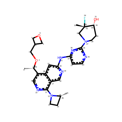 C[C@H](OCC1COC1)c1cnc(N2CC[C@H]2C)c2cnc(Nc3ccnc(N4CC[C@@H](O)[C@@](C)(F)C4)n3)cc12